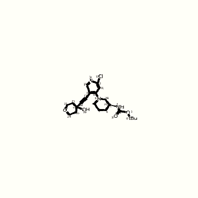 CC(C)(C)OC(=O)N[C@H]1CCCN(c2cc(Cl)ncc2C#CC2(O)CCOCC2)C1